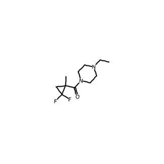 CCN1CCN(C(=O)C2(C)CC2(F)F)CC1